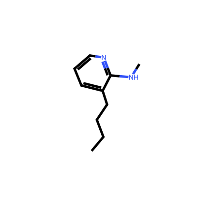 CCCCc1cccnc1NC